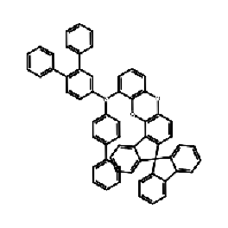 c1ccc(-c2ccc(N(c3ccc(-c4ccccc4)c(-c4ccccc4)c3)c3cccc4c3Oc3c(ccc5c3-c3ccccc3C53c5ccccc5-c5ccccc53)O4)cc2)cc1